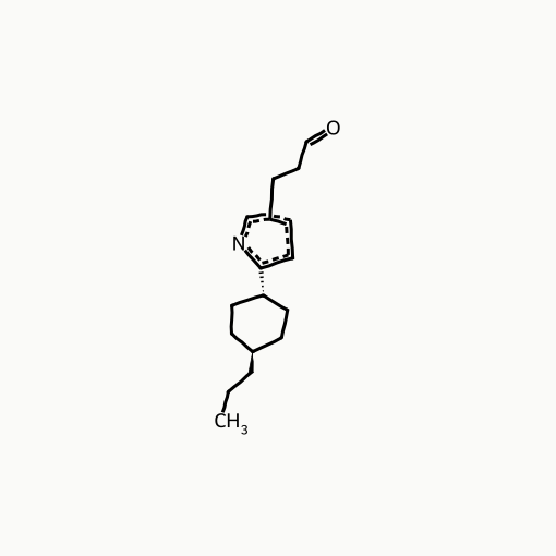 CCC[C@H]1CC[C@H](c2ccc(CCC=O)cn2)CC1